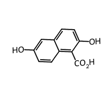 O=C(O)c1c(O)ccc2cc(O)ccc12